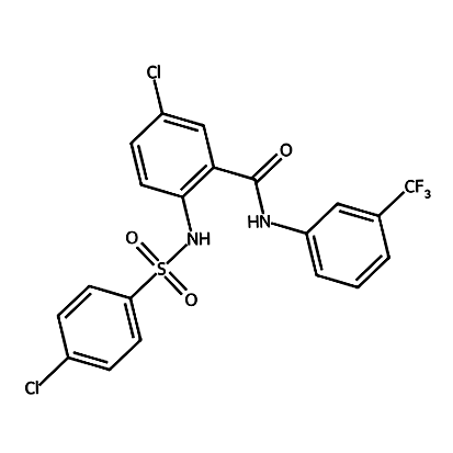 O=C(Nc1cccc(C(F)(F)F)c1)c1cc(Cl)ccc1NS(=O)(=O)c1ccc(Cl)cc1